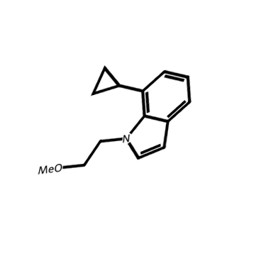 COCCn1ccc2cccc(C3CC3)c21